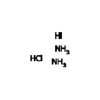 Cl.I.N.N